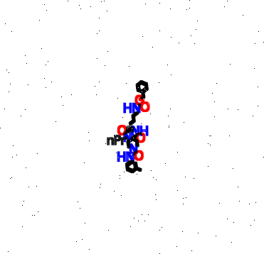 CCCN1C(=O)[C@H](CCCCNC(=O)OCc2ccccc2)NC(=O)C12CCN(C(=O)Nc1cccc(C)c1)CC2